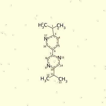 CC(C)c1ccc(-c2cnc(C(C)C)cn2)cn1